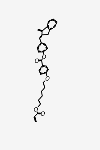 C=CC(=O)OCCCCCCOc1ccc(C(=O)Oc2ccc(/C=C3\Cc4ccccc4C3=C)cc2)cc1